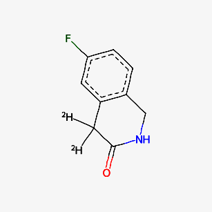 [2H]C1([2H])C(=O)NCc2ccc(F)cc21